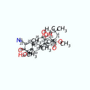 COC(=O)[C@]12CCC(C)(C)CC1[C@@]1(O)C(=O)C=C3[C@@]4(C)C=C(C#N)C(=O)C(C)(O)[C@@H]4CC[C@@]3(C)[C@]1(C)CC2